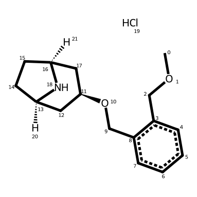 COCc1ccccc1CO[C@H]1C[C@H]2CC[C@@H](C1)N2.Cl